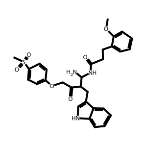 COc1ccccc1CCC(=O)NC(N)C(Cc1c[nH]c2ccccc12)C(=O)COc1ccc(S(C)(=O)=O)cc1